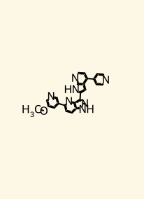 COc1cncc(-c2ccc3[nH]nc(-c4cc5c(-c6ccncc6)ccnc5[nH]4)c3n2)c1